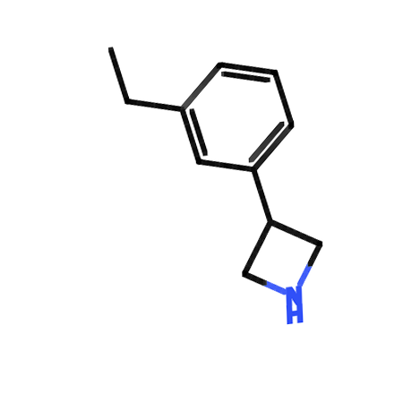 CCc1cccc(C2CNC2)c1